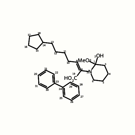 COC1(O)CCCCN1C(=CCCCCC1CCCC1)C(=O)O.c1ccc(-c2ccccc2)cc1